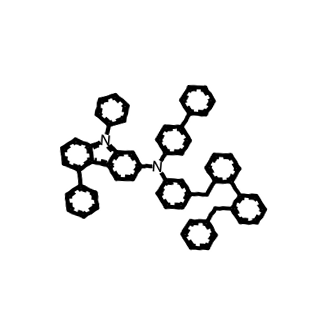 c1ccc(Cc2ccccc2-c2ccccc2Cc2cccc(N(c3ccc(-c4ccccc4)cc3)c3ccc4c5c(-c6ccccc6)cccc5n(-c5ccccc5)c4c3)c2)cc1